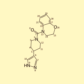 O=C(N1CCC(c2cn[nH]c2)CC1)N1CCOc2ccccc21